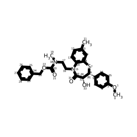 COc1ccc([C@H]2Sc3cc(C)ccc3N(CCN(C)C(=O)OCc3ccccc3)C(=O)[C@H]2O)cc1